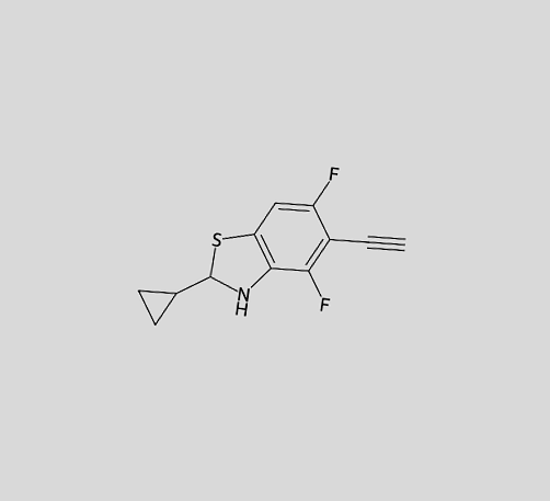 C#Cc1c(F)cc2c(c1F)NC(C1CC1)S2